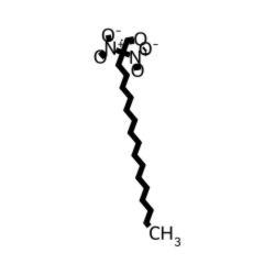 CCCCCCCCCCCCCCCCC([C]=O)([N+](=O)[O-])[N+](=O)[O-]